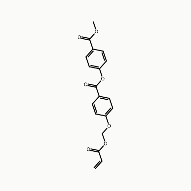 C=CC(=O)OCOc1ccc(C(=O)Oc2ccc(C(=O)OC)cc2)cc1